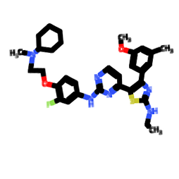 CCNc1nc(-c2cc(C)cc(OC)c2)c(-c2ccnc(Nc3ccc(OCCN(C)C4CCCCC4)c(F)c3)n2)s1